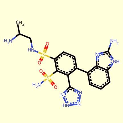 CC(N)CNS(=O)(=O)c1ccc(-c2cccc3[nH]c(N)nc23)c(-c2nn[nH]n2)c1S(N)(=O)=O